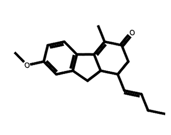 CC/C=C/C1CC(=O)C(C)=C2c3ccc(OC)cc3CC21